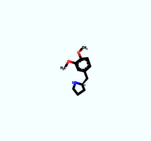 COc1ccc(C[C@H]2CCCN2)cc1OC